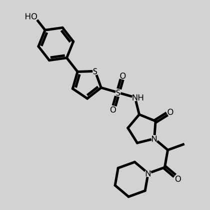 CC(C(=O)N1CCCCC1)N1CCC(NS(=O)(=O)c2ccc(-c3ccc(O)cc3)s2)C1=O